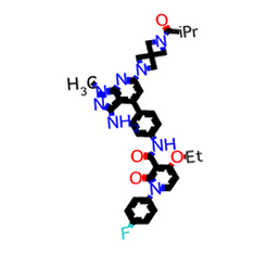 CCOc1ccn(-c2ccc(F)cc2)c(=O)c1C(=O)Nc1ccc(-c2cc(N3CC4(CN(C(=O)C(C)C)C4)C3)nc3c2c(N)nn3C)cc1